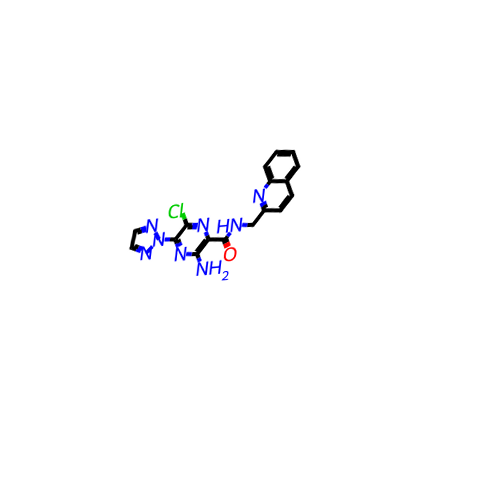 Nc1nc(-n2nccn2)c(Cl)nc1C(=O)NCc1ccc2ccccc2n1